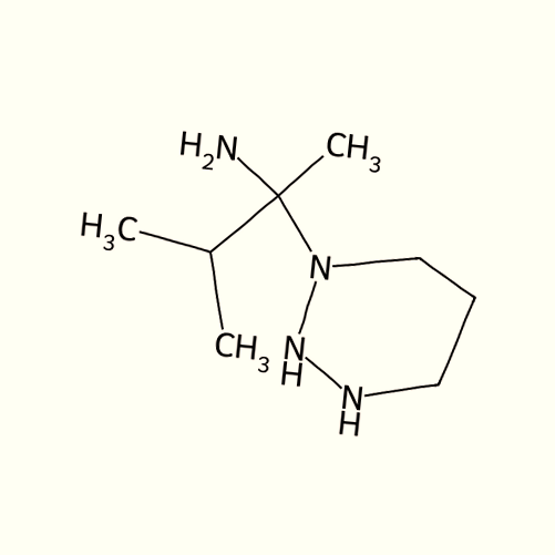 CC(C)C(C)(N)N1CCCNN1